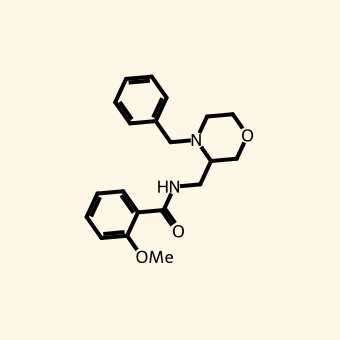 COc1ccccc1C(=O)NCC1COCCN1Cc1ccccc1